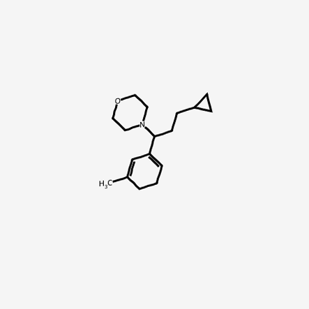 CC1=CC(C(CCC2CC2)N2CCOCC2)=CCC1